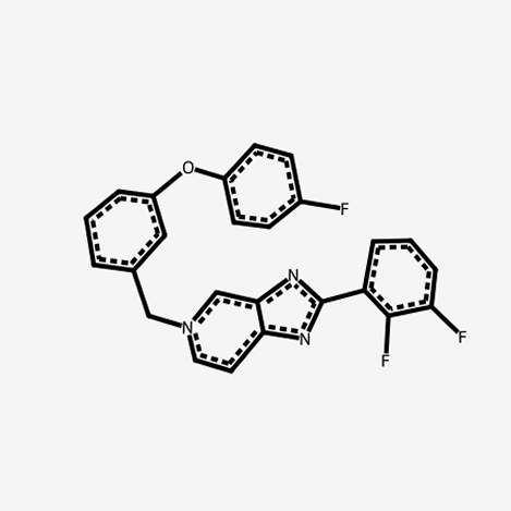 Fc1ccc(Oc2cccc(Cn3ccc4nc(-c5cccc(F)c5F)nc-4c3)c2)cc1